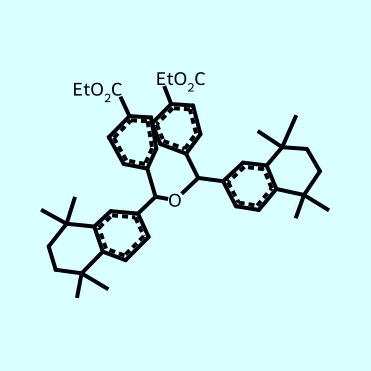 CCOC(=O)c1ccc(C(OC(c2ccc(C(=O)OCC)cc2)c2ccc3c(c2)C(C)(C)CCC3(C)C)c2ccc3c(c2)C(C)(C)CCC3(C)C)cc1